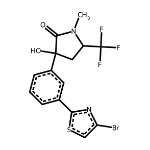 CN1C(=O)C(O)(c2cccc(-c3nc(Br)cs3)c2)CC1C(F)(F)F